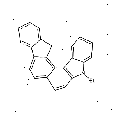 CCn1c2ccccc2c2c3c4c(ccc3ccc21)-c1ccccc1C4